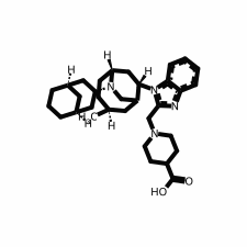 C[C@H]1CC[C@@H]2C[C@H](n3c(CN4CCC(C(=O)O)CC4)nc4ccccc43)C(C1)CN2[C@H]1C[C@@H]2CCC[C@@H](C2)C1